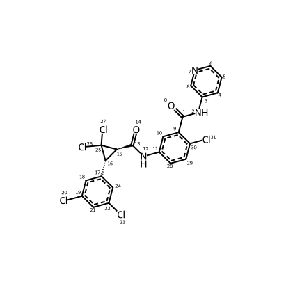 O=C(Nc1cccnc1)c1cc(NC(=O)[C@H]2[C@H](c3cc(Cl)cc(Cl)c3)C2(Cl)Cl)ccc1Cl